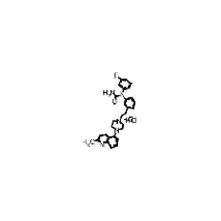 Cc1ccc2c(N3CCN(CCc4cccc(N(C(N)=O)c5cccc(F)c5)c4)CC3)cccc2n1.Cl.Cl